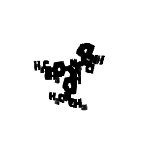 CN(C)c1ccc(-c2nc(-c3c(Cl)[nH]c4ccccc34)[nH]c2-c2ccc(N(C)C)cc2)cc1